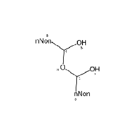 CCCCCCCCCC(O)OC(O)CCCCCCCCC